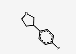 Fc1ccc(C2CCOC2)cc1